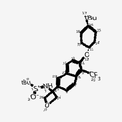 CC(C)(C)[S+]([O-])NC1(c2ccc3c(C(F)(F)F)c(O[C@H]4CC[C@H](C(C)(C)C)CC4)ccc3c2)COC1